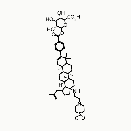 C=C(C)C[C@@H]1CC[C@]2(NCCN3CCS(=O)(=O)CC3)CC[C@]3(C)[C@H](CCC4[C@@]5(C)CC=C(c6ccc(C(=O)OC7O[C@H](C(=O)O)[C@@H](O)[C@H](O)[C@H]7O)cc6)C(C)(C)C5CC[C@]43C)C12